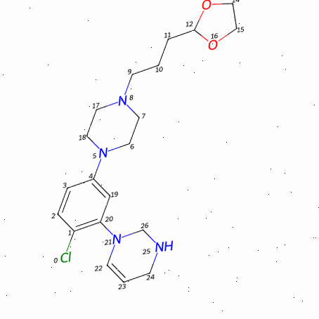 Clc1ccc(N2CCN(CCCC3OCCO3)CC2)cc1N1C=CCNC1